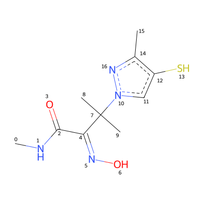 CNC(=O)/C(=N/O)C(C)(C)n1cc(S)c(C)n1